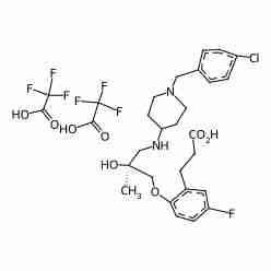 C[C@](O)(CNC1CCN(Cc2ccc(Cl)cc2)CC1)COc1ccc(F)cc1CCC(=O)O.O=C(O)C(F)(F)F.O=C(O)C(F)(F)F